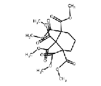 COC(=O)C1(C(=O)OC)CCCC(C(=O)OC)(C(=O)OC)C1(C(=O)OC)C(=O)OC